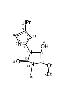 CCOC1C(O)N(c2ncc(C(C)C)s2)C(=O)N1C